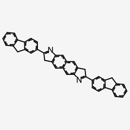 c1ccc2c(c1)Cc1cc(C3=Nc4cc5cc6c(cc5cc4C3)N=C(c3ccc4c(c3)Cc3ccccc3-4)C6)ccc1-2